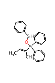 CC=C(C)[Si](O[SiH2]c1ccccc1)(c1ccccc1)c1ccccc1